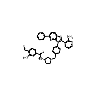 Nc1ncccc1-c1nc2ccc(-c3ccccc3)nc2n1-c1ccc(CN2CC[C@@H](NC(=O)c3ccc(C=O)c(O)c3)C2)cc1